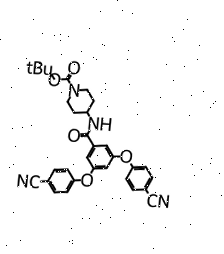 CC(C)(C)OC(=O)N1CCC(NC(=O)c2cc(Oc3ccc(C#N)cc3)cc(Oc3ccc(C#N)cc3)c2)CC1